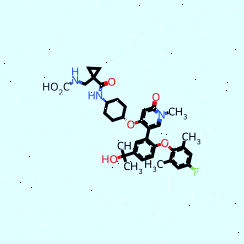 Cc1cc(F)cc(C)c1Oc1ccc(C(C)(C)O)cc1-c1cn(C)c(=O)cc1O[C@H]1CC[C@H](NC(=O)C2(CNC(=O)O)CC2)CC1